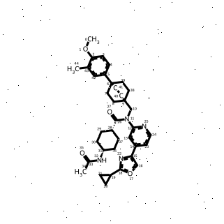 COc1ccc(C23CCC(CN(c4cc(-c5coc(C6CC6)n5)ccn4)C(=O)[C@H]4CC[C@H](NC(C)=O)CC4)(CC2)CC3)cc1C